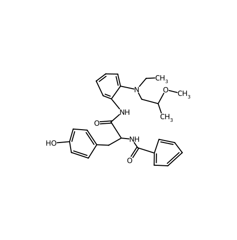 CCN(CC(C)OC)c1ccccc1NC(=O)C(Cc1ccc(O)cc1)NC(=O)c1ccccc1